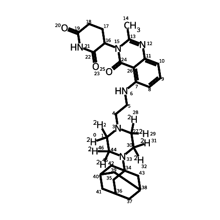 [2H]C1([2H])N(CCNc2cccc3nc(C)n(C4CCC(=O)NC4=O)c(=O)c23)C([2H])([2H])C([2H])([2H])N(C23CC4CC(CC(C4)C2)C3)C1([2H])[2H]